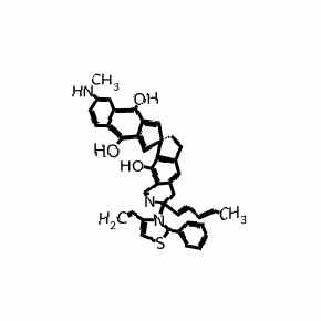 C=CC1=CSC(c2ccccc2)N1C1(/C=C/C=C/C)Cc2cc3c(c(O)c2C=N1)[C@]1(C=c2c(O)c4ccc(NC)cc4c(O)c2=C1)CC3